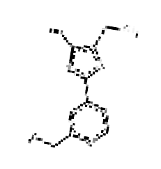 CCc1cc(-c2nc(O)c(CC)s2)ccn1